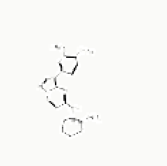 COc1ccc(-c2cnn3ccc(N[C@@H]4CCCC[C@@H]4N)nc23)cc1OC